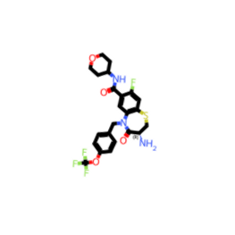 N[C@H]1CSc2cc(F)c(C(=O)NC3CCOCC3)cc2N(Cc2ccc(OC(F)(F)F)cc2)C1=O